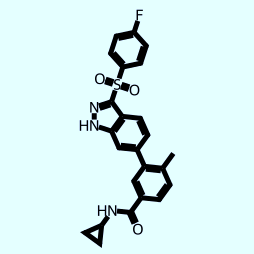 Cc1ccc(C(=O)NC2CC2)cc1-c1ccc2c(S(=O)(=O)c3ccc(F)cc3)n[nH]c2c1